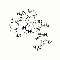 CCc1cccc(CC)c1N(C=O)C1=C(/C=C(\C)c2nc(Br)c(C)s2)C(=O)CC(C)(C)C1